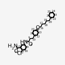 NC(=O)c1cc(NC(=O)CCc2ccc(OCCCCCc3ccccc3)cc2)ccc1Cl